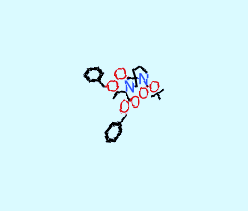 CC(OCc1ccccc1)C(C(=O)OCc1ccccc1)N1CC2(CCCN2C(=O)OC(C)(C)C)C1=O